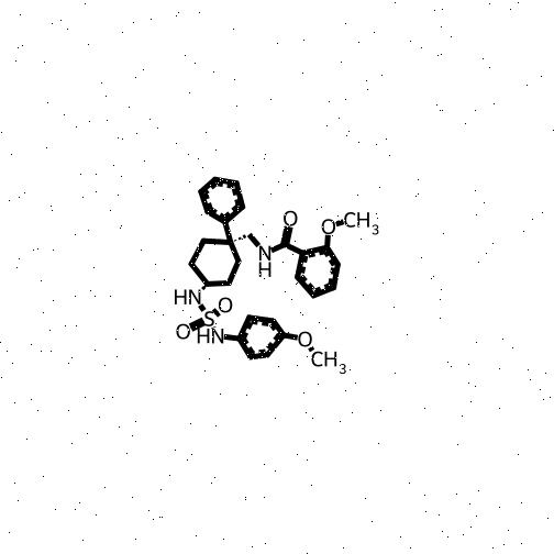 COc1ccc(NS(=O)(=O)N[C@H]2CC[C@](CNC(=O)c3ccccc3OC)(c3ccccc3)CC2)cc1